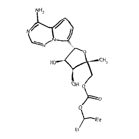 CCC(CC)OC(=O)OC[C@@]1(C)O[C@@H](c2ccc3c(N)ncnn23)[C@H](O)[C@@H]1O